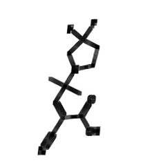 CC(C)(C=C(C#N)C(=O)O)N1CCC(F)(F)C1